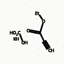 C#CC(=O)OCC.O=C(O)O.[KH]